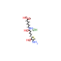 Cl.N[C@H]1CS[C@@H](CCCCC(O)NCCCCCC(=O)O)[C@H]1O